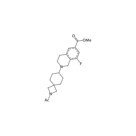 COC(=O)c1cc(F)c2c(c1)CCN(C1CCC3(CC1)CN(C(C)=O)C3)C2